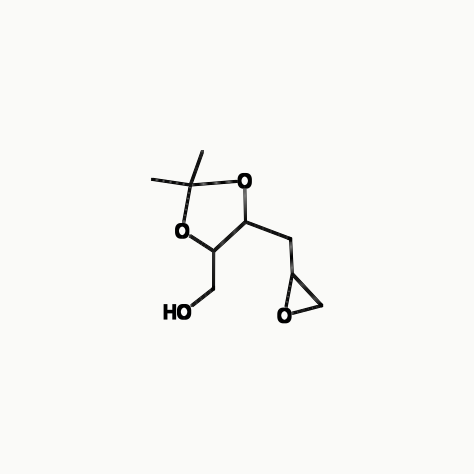 CC1(C)OC(CO)C(CC2CO2)O1